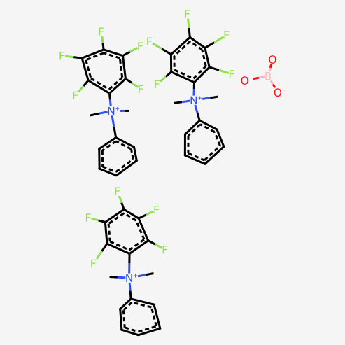 C[N+](C)(c1ccccc1)c1c(F)c(F)c(F)c(F)c1F.C[N+](C)(c1ccccc1)c1c(F)c(F)c(F)c(F)c1F.C[N+](C)(c1ccccc1)c1c(F)c(F)c(F)c(F)c1F.[O-]B([O-])[O-]